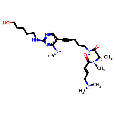 CCCNc1nc(NCCCCCO)ncc1C#CCCCNC(=O)[C@H](C)N(C)C(=O)/C=C/CN(C)C